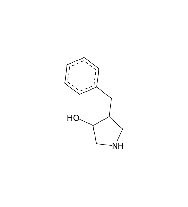 OC1CNCC1Cc1ccccc1